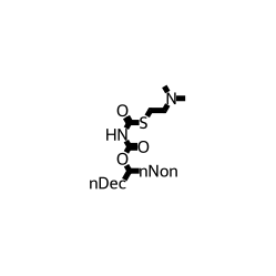 CCCCCCCCCCC(CCCCCCCCC)OC(=O)NC(=O)SCCN(C)C